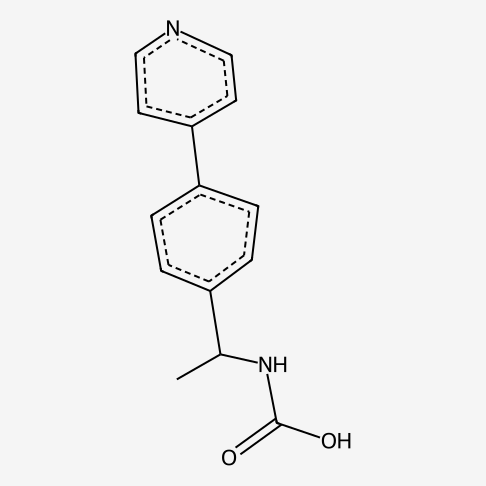 CC(NC(=O)O)c1ccc(-c2ccncc2)cc1